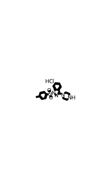 Cc1ccc(S(=O)(=O)n2nc(N3CCNCC3)c3ccccc32)cc1.Cl